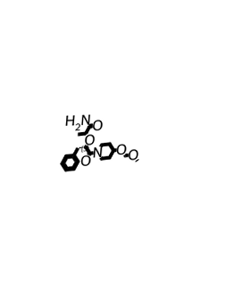 COCOC1CCN(C(=O)[C@H](Cc2ccccc2)OC(C)C(N)=O)CC1